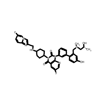 C[C@@H](O)CN(C)Cc1cc(O)ccc1-c1cccc(-n2c(=O)n(C3CCC(NCc4cn5cc(F)ccc5n4)CC3)c(=O)c3cc(F)cnc32)c1